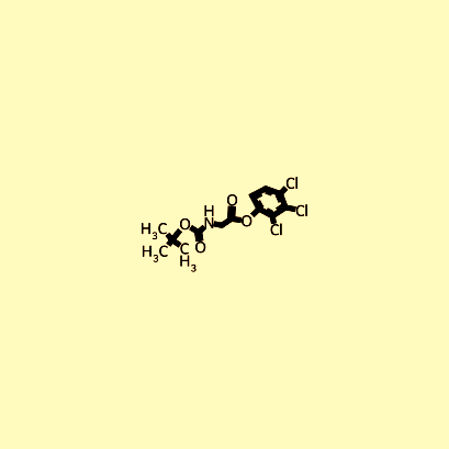 CC(C)(C)OC(=O)NCC(=O)Oc1ccc(Cl)c(Cl)c1Cl